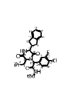 CC(C)CC1C(=O)NC(C2Cc3ccccc3C2)C(=O)N1C(C(=O)NC(C)(C)C)c1ccc(Cl)c(F)c1